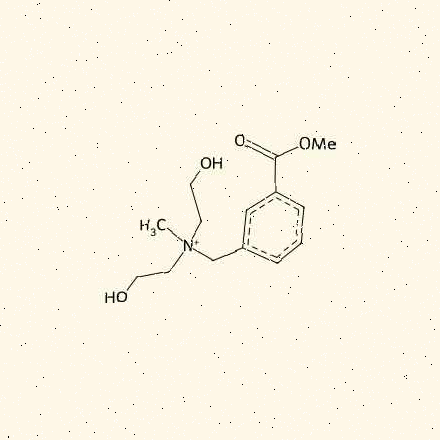 COC(=O)c1cccc(C[N+](C)(CCO)CCO)c1